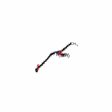 CCCCCCCCCCCCCCCCOCC(CNCCCCCCCCCCCCCCCCCCCCC(=O)OCc1ccccc1)OP(=O)([O-])OCC[N+](C)(C)C